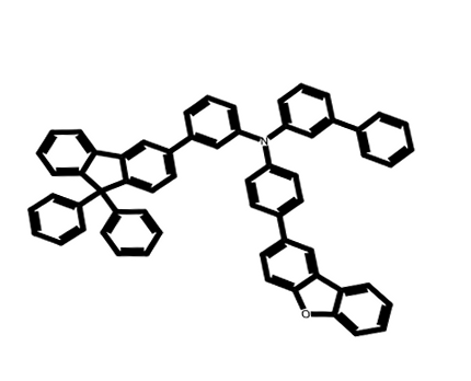 c1ccc(-c2cccc(N(c3ccc(-c4ccc5oc6ccccc6c5c4)cc3)c3cccc(-c4ccc5c(c4)-c4ccccc4C5(c4ccccc4)c4ccccc4)c3)c2)cc1